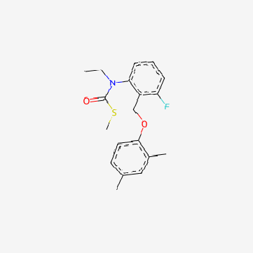 CCN(C(=O)SC)c1cccc(F)c1COc1ccc(C)cc1C